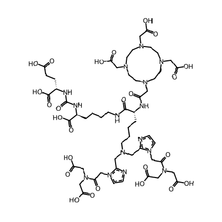 O=C(O)CC[C@H](NC(=O)N[C@@H](CCCCNC(=O)[C@@H](CCCCN(Cc1nccn1CC(=O)N(CC(=O)O)CC(=O)O)Cc1nccn1CC(=O)N(CC(=O)O)CC(=O)O)NC(=O)CN1CCN(CC(=O)O)CCN(CC(=O)O)CCN(CC(=O)O)CC1)C(=O)O)C(=O)O